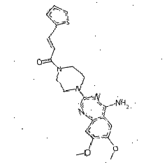 COc1cc2nc(N3CCN(C(=O)C=Cc4cccs4)CC3)nc(N)c2cc1OC